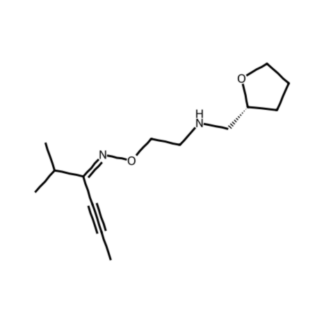 CC#C/C(=N\OCCNC[C@H]1CCCO1)C(C)C